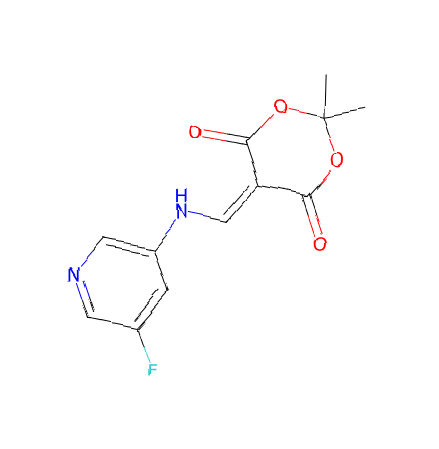 CC1(C)OC(=O)C(=CNc2cncc(F)c2)C(=O)O1